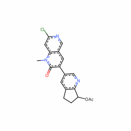 CC(=O)OC1CCc2cc(-c3cc4cnc(Cl)cc4n(C)c3=O)cnc21